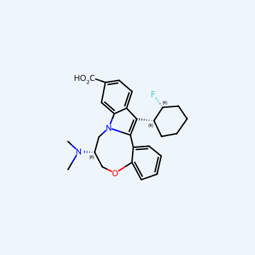 CN(C)[C@H]1COc2ccccc2-c2c([C@H]3CCCC[C@H]3F)c3ccc(C(=O)O)cc3n2C1